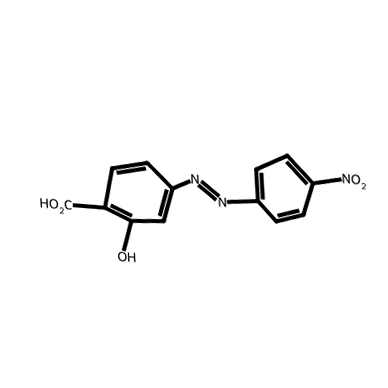 O=C(O)c1ccc(N=Nc2ccc([N+](=O)[O-])cc2)cc1O